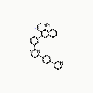 C/C=C\c1c(-c2cccc(-c3nccc(-c4ccc(-c5cccnc5)cc4)n3)c2)cc2ccccc2c1CCC